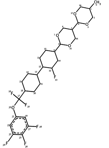 CC1COC(C2COC(C3CCC(C4CCC(C(F)(F)Oc5cc(F)c(F)c(F)c5)CC4)C(F)C3)OC2)OC1